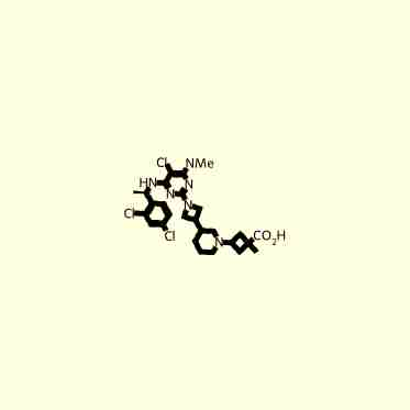 CNc1nc(N2CC(C3CCCN(C4CC(C)(C(=O)O)C4)C3)C2)nc(N[C@H](C)c2ccc(Cl)cc2Cl)c1Cl